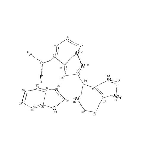 FC(F)c1cccn2nc(C3c4nc[nH]c4CCN3c3nc4ccccc4o3)cc12